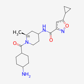 C[C@H]1CC(NC(=O)c2cc(C3CC3)on2)CCN1C(=O)C1CCC(N)CC1